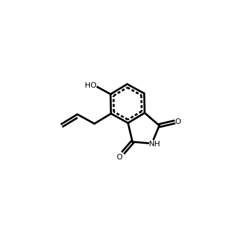 C=CCc1c(O)ccc2c1C(=O)NC2=O